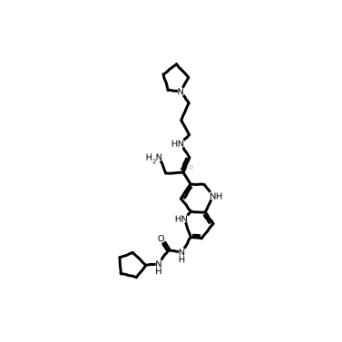 NC/C(=C\NCCCN1CCCC1)C1=CC2NC(NC(=O)NC3CCCC3)=CC=C2NC1